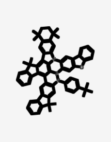 CC(C)(C)c1ccc(N2B3c4cc5oc6ccccc6c5cc4-n4c5cc6c(cc5c5c7c(c(c3c54)-c3cc4c(cc32)C(C)(C)c2ccccc2-4)-c2ccccc2C7(C)C)C(C)(C)CCC6(C)C)cc1